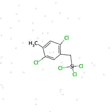 Cc1cc(Cl)c(C[Si](Cl)(Cl)Cl)cc1Cl